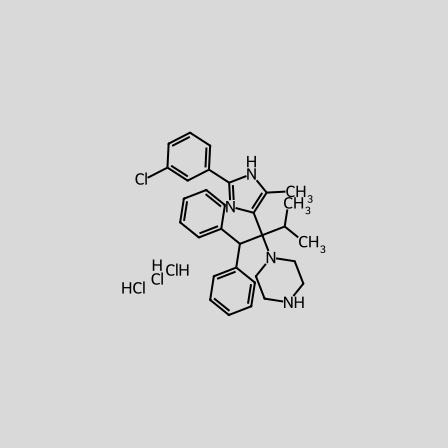 Cc1[nH]c(-c2cccc(Cl)c2)nc1C(C(C)C)(C(c1ccccc1)c1ccccc1)N1CCNCC1.Cl.Cl.Cl